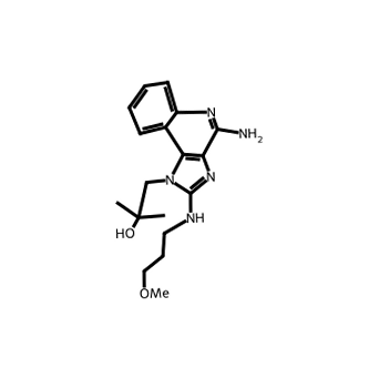 COCCCNc1nc2c(N)nc3ccccc3c2n1CC(C)(C)O